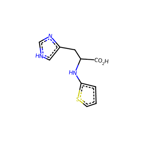 O=C(O)C(Cc1c[nH]cn1)Nc1cccs1